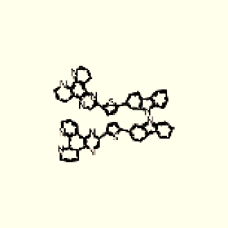 c1cnc2c(c1)c1ncc(-c3ccc(-c4ccc5c6ccccc6n(-n6c7ccccc7c7ccc(-c8ccc(-c9cnc%10c%11cccnc%11c%11ncccc%11c%10n9)s8)cc76)c5c4)s3)nc1c1cccnc12